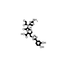 Nc1nc(N(C(=O)C=O)[C@@H]2C(=O)N3C(C(=O)O)=C(Cn4nnc(-c5ccc(O)c(O)c5)n4)CS[C@H]23)cs1